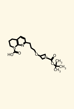 CC(C)(C)OC(=O)N1CC(OCCCc2ccc3c(n2)N(C(=O)O)CCC3)C1